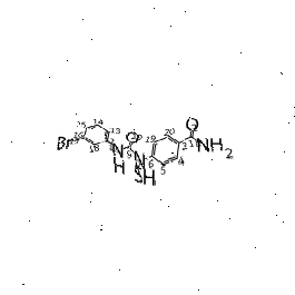 NC(=O)c1ccc(N(S)C(=O)Nc2cccc(Br)c2)cc1